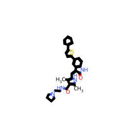 Cc1[nH]c(/C=C2\C(=O)Nc3ccc(-c4ccc(-c5ccccc5)s4)cc32)c(C)c1C(=O)NCCN1CCCC1